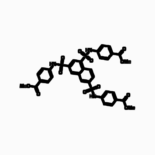 COC(=O)c1ccc(NS(=O)(=O)c2ccc3c(S(=O)(=O)Nc4ccc(C(=O)OC)cc4)cc(S(=O)(=O)Nc4ccc(C(=O)OC)cc4)cc3c2)cc1